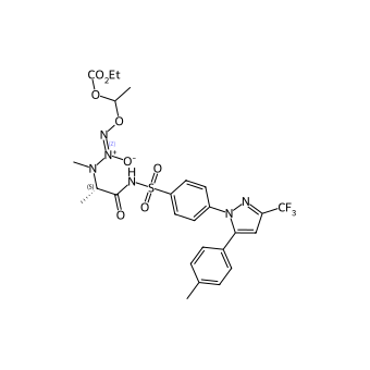 CCOC(=O)OC(C)O/N=[N+](\[O-])N(C)[C@@H](C)C(=O)NS(=O)(=O)c1ccc(-n2nc(C(F)(F)F)cc2-c2ccc(C)cc2)cc1